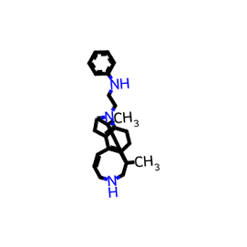 CC1C2CC3=C(CCC4=C3/C=C\CNCC41C)N2CCNc1ccccc1